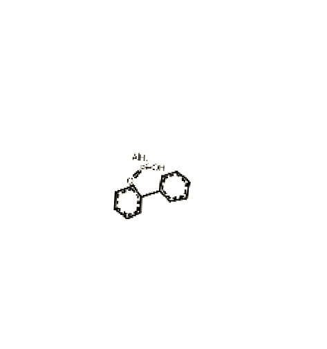 O=PO.[AlH3].c1ccc(-c2ccccc2)cc1